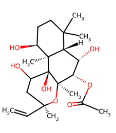 C=C[C@@]1(C)CC(O)[C@]2(O)[C@@]3(C)[C@@H](O)CCC(C)(C)[C@@H]3[C@H](O)[C@H](OC(C)=O)[C@@]2(C)O1